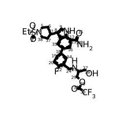 CCS(=O)(=O)N1CCC(c2c[nH]c3c(C(N)=O)cc(-c4ccc(F)c(CNC(CO)COC(=O)C(F)(F)F)c4)cc23)CC1